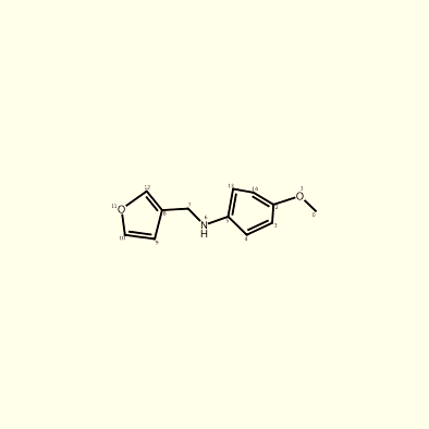 COc1ccc(NCc2ccoc2)cc1